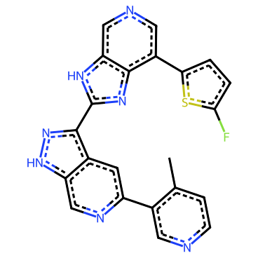 Cc1ccncc1-c1cc2c(-c3nc4c(-c5ccc(F)s5)cncc4[nH]3)n[nH]c2cn1